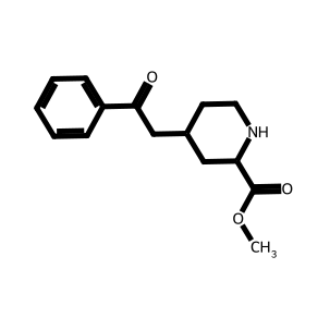 COC(=O)C1CC(CC(=O)c2ccccc2)CCN1